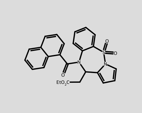 CCOC(=O)CC1c2cccn2S(=O)(=O)c2ccccc2N1C(=O)c1cccc2ccccc12